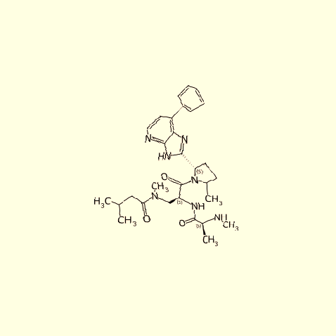 CN[C@@H](C)C(=O)N[C@@H](CN(C)C(=O)CC(C)C)C(=O)N1C(C)CC[C@H]1c1nc2c(-c3ccccc3)ccnc2[nH]1